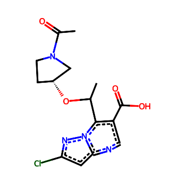 CC(=O)N1CC[C@@H](OC(C)c2c(C(=O)O)cnc3cc(Cl)nn23)C1